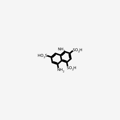 N.Nc1cc(S(=O)(=O)O)cc2cc(S(=O)(=O)O)cc(S(=O)(=O)O)c12